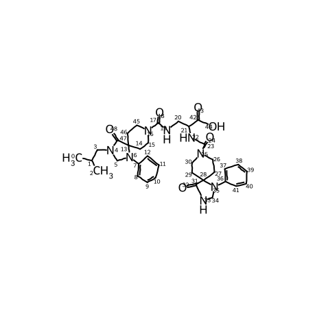 CC(C)CN1CN(c2ccccc2)C2(CCN(C(=O)NCC(NC(=O)N3CCC4(CC3)C(=O)NCN4c3ccccc3)C(=O)O)CC2)C1=O